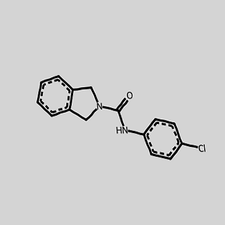 O=C(Nc1ccc(Cl)cc1)N1Cc2ccccc2C1